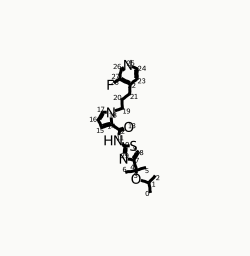 CC(C)OC(C)(C)c1csc(NC(=O)c2cccn2CCCc2ccncc2F)n1